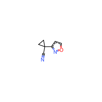 N#CC1(c2ccon2)CC1